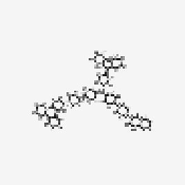 c1ccc2cc(-c3ccc(-c4ccc(N(c5ccc(-c6ccc(-c7ccc8c9ccccc9c9ccccc9c8c7)cc6)cc5)c5ccc(-n6c7ccccc7c7ccccc76)cc5)cc4)cc3)ccc2c1